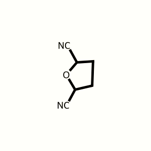 N#CC1CCC(C#N)O1